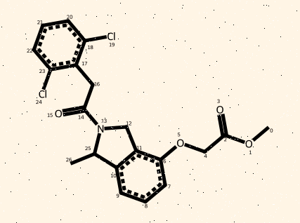 COC(=O)COc1cccc2c1CN(C(=O)Cc1c(Cl)cccc1Cl)C2C